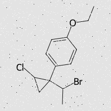 CCOc1ccc(C2(C(C)Br)CC2Cl)cc1